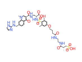 Cc1cc(OCCCC(=O)NCCNC(=O)[C@@H](C)CS(=O)(=O)O)cc(C)c1S(=O)(=O)N[C@@H](CNC(=O)c1cn(C)c2cc(CNc3ncc[nH]3)ccc2c1=O)C(=O)O